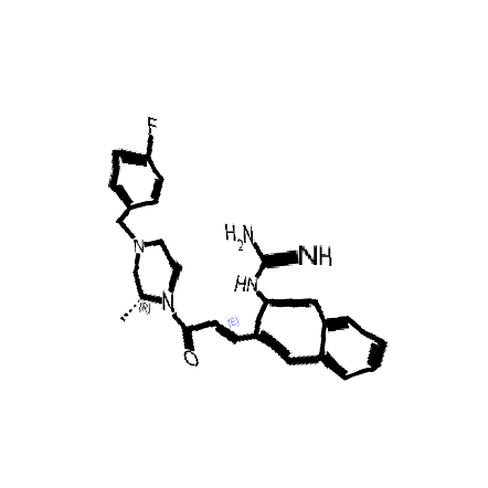 C[C@@H]1CN(Cc2ccc(F)cc2)CCN1C(=O)/C=C/c1cc2ccccc2cc1NC(=N)N